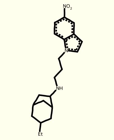 CCC1CC2CC(C1)C(NCCCn1ccc3cc([N+](=O)[O-])ccc31)C2